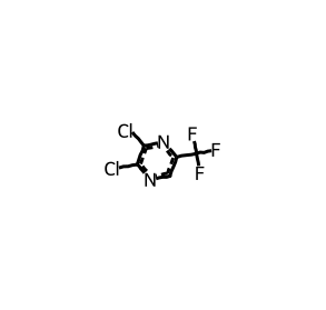 FC(F)(F)c1cnc(Cl)c(Cl)n1